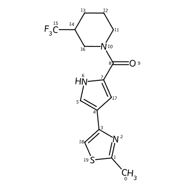 Cc1nc(-c2c[nH]c(C(=O)N3CCCC(C(F)(F)F)C3)c2)cs1